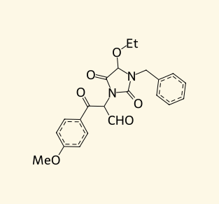 CCOC1C(=O)N(C(C=O)C(=O)c2ccc(OC)cc2)C(=O)N1Cc1ccccc1